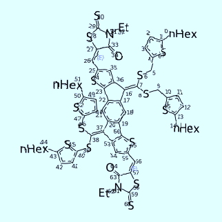 CCCCCCc1ccc(CSC(SCc2ccc(CCCCCC)s2)=C2c3cc4c(cc3-c3sc(/C=C5/SC(=S)N(CC)C5=O)cc32)C(=C(Sc2ccc(CCCCCC)s2)Sc2ccc(CCCCCC)s2)c2cc(/C=C3/SC(=S)N(CC)C3=O)sc2-4)s1